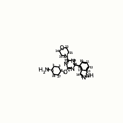 N[C@H]1CC[C@H](Oc2nc(-c3cccc4[nH]ncc34)nc(N3CCOCC3)n2)CC1